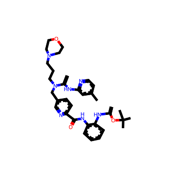 C=C(Nc1ccccc1NC(=O)c1ccc(CN(CCCN2CCOCC2)C(=C)Nc2cc(C)ccn2)cn1)OC(C)(C)C